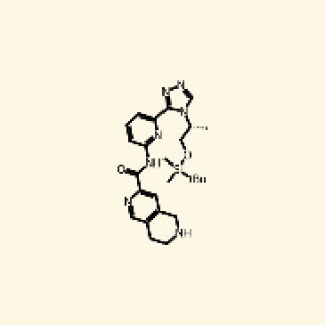 C[C@H](CO[Si](C)(C)C(C)(C)C)n1cnnc1-c1cccc(NC(=O)c2cc3c(cn2)CCNC3)n1